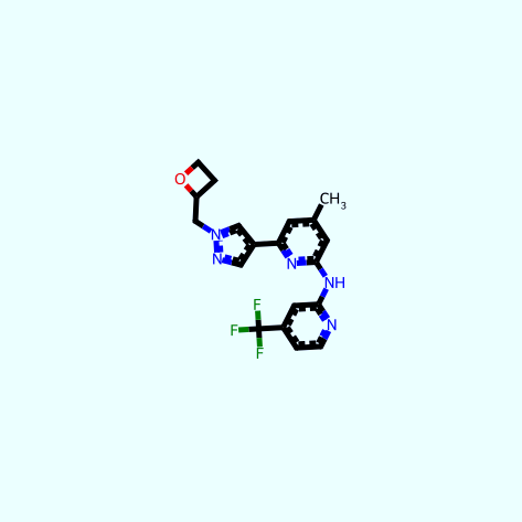 Cc1cc(Nc2cc(C(F)(F)F)ccn2)nc(-c2cnn(CC3CCO3)c2)c1